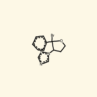 BrC1(c2ccccc2)OCCC1n1cncn1